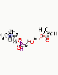 C=C(C)C(=O)OCCOCC[PH](=O)OCC[N+](C)(C)C